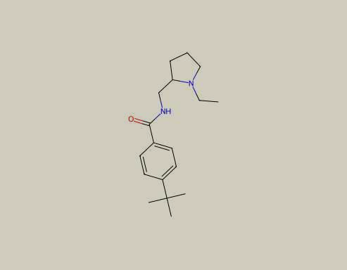 CCN1CCCC1CNC(=O)c1ccc(C(C)(C)C)cc1